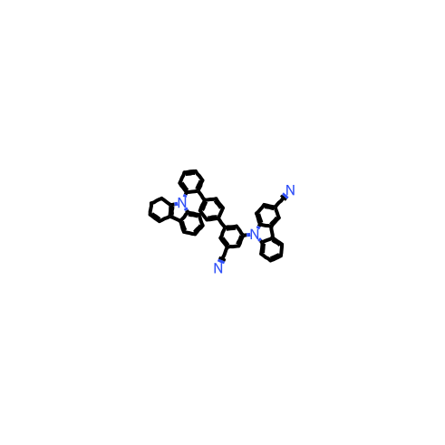 N#Cc1cc(-c2ccc(-c3ccccc3-n3c4c(c5ccccc53)C=CCC4)cc2)cc(-n2c3ccccc3c3cc(C#N)ccc32)c1